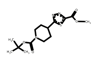 COC(=O)c1nnc(C2CCN(C(=O)OC(C)(C)C)CC2)s1